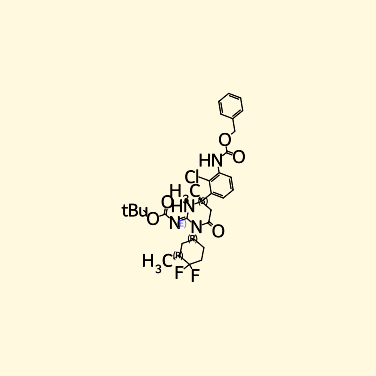 C[C@@H]1C[C@H](N2C(=O)C[C@@](C)(c3cccc(NC(=O)OCc4ccccc4)c3Cl)N/C2=N\C(=O)OC(C)(C)C)CCC1(F)F